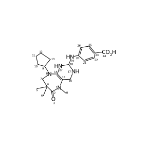 CN1C(=O)C(C)(C)CN(C2CCCC2)C2=C1CNC(Nc1ccc(C(=O)O)cc1)N2